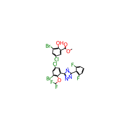 COC(=O)c1cc(Cl)cc(Br)c1O.Cn1c(-c2cc(Cl)cc(Br)c2OC(F)F)nnc1-c1c(F)cccc1F